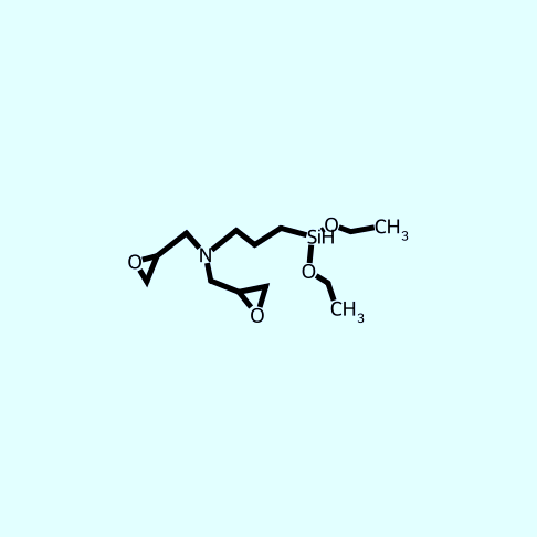 CCO[SiH](CCCN(CC1CO1)CC1CO1)OCC